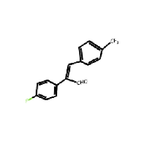 O=C/C(=C\c1ccc(C(F)(F)F)cc1)c1ccc(F)cc1